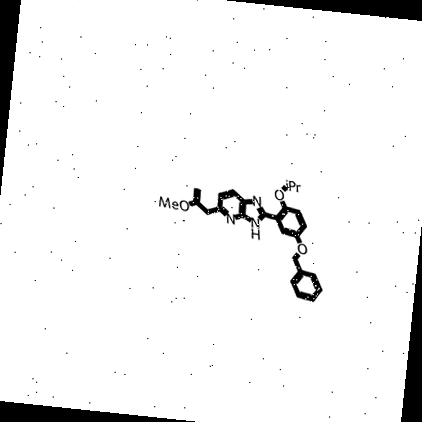 C=C(Cc1ccc2nc(-c3cc(OCc4ccccc4)ccc3OC(C)C)[nH]c2n1)OC